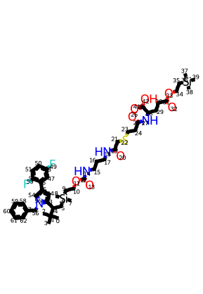 CC(C)(C)C(C[Si](C)(C)CCOC(=O)NCCCNC(=O)CSCCC(=O)NC(CCC(=O)OCC[Si](C)(C)C)C(=O)O)c1cc(-c2cc(F)ccc2F)cn1Cc1ccccc1